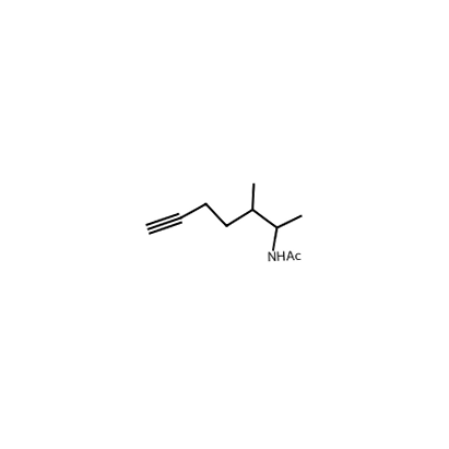 C#CCCC(C)C(C)NC(C)=O